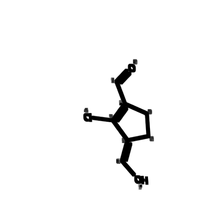 O=CC1=C(Cl)/C(=C/O)CC1